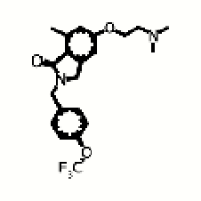 Cc1cc(OCCN(C)C)cc2c1C(=O)N(Cc1ccc(OC(F)(F)F)cc1)C2